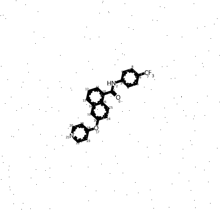 O=C(Nc1ccc(C(F)(F)F)cc1)c1cccc2cc(Oc3ccncc3)ccc12